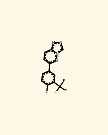 Fc1ccc(-c2ccc3nncn3n2)cc1C(F)(F)F